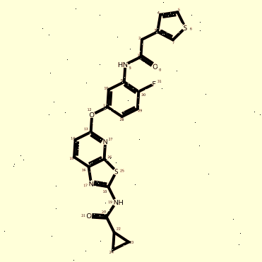 O=C(Cc1ccsc1)Nc1cc(Oc2ccc3nc(NC(=O)C4CC4)sc3n2)ccc1F